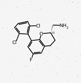 NC[C@@H]1CCc2cc(F)cc(-c3c(Cl)cccc3Cl)c2O1